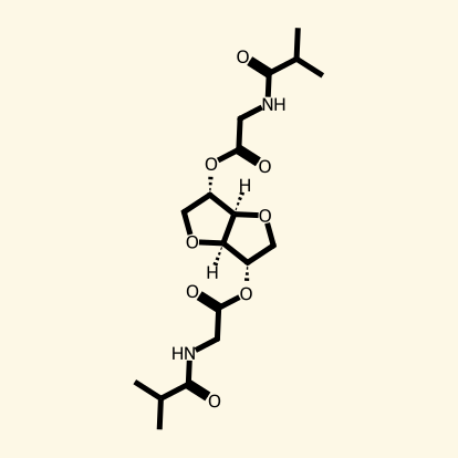 CC(C)C(=O)NCC(=O)O[C@H]1CO[C@H]2[C@@H]1OC[C@@H]2OC(=O)CNC(=O)C(C)C